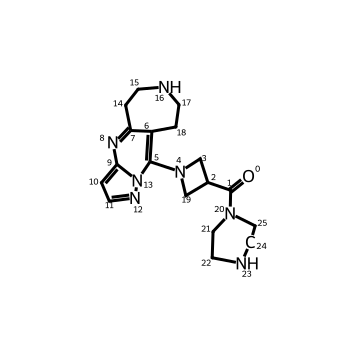 O=C(C1CN(c2c3c(nc4ccnn24)CCNCC3)C1)N1CCNCC1